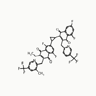 CCC1=C(Cc2ncc(C(F)(F)F)cc2C)C(=O)c2c(F)cc(C3CC3C3=C(Cc4ccc(C(F)(F)F)cn4)C(=O)c4c(F)cc(F)cc4C3=O)c(F)c2C1=O